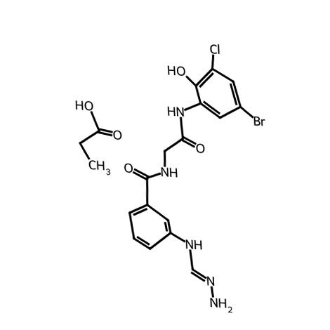 CCC(=O)O.NN=CNc1cccc(C(=O)NCC(=O)Nc2cc(Br)cc(Cl)c2O)c1